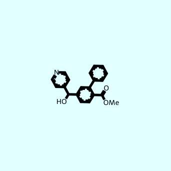 COC(=O)c1ccc(C(O)c2ccncc2)cc1-c1ccccc1